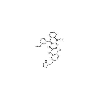 COc1cccc(-c2c(NC(=O)Nc3cc(Cc4ncc[nH]4)ccc3C(C)(C)C)c(=O)n(C)c3ncccc23)c1